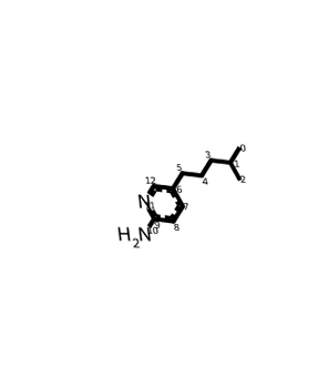 CC(C)CCCc1ccc(N)nc1